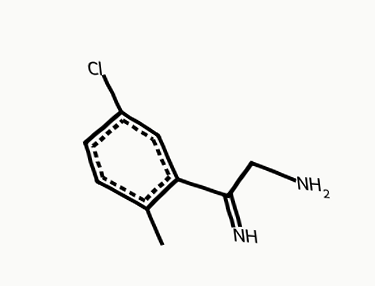 Cc1ccc(Cl)cc1C(=N)CN